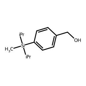 CC(C)[Si](C)(c1ccc(CO)cc1)C(C)C